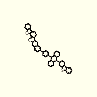 c1ccc2c(c1)oc1c2ccc2c3cc4cc(-c5ccc(-c6c7ccccc7c(-c7ccc8c(c7)sc7ccccc78)c7ccccc67)cc5)ccc4cc3oc21